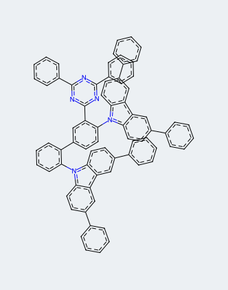 c1ccc(-c2ccc3c(c2)c2cc(-c4ccccc4)ccc2n3-c2ccccc2-c2ccc(-n3c4ccc(-c5ccccc5)cc4c4cc(-c5ccccc5)ccc43)c(-c3nc(-c4ccccc4)nc(-c4ccccc4)n3)c2)cc1